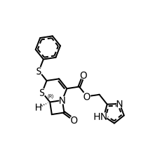 O=C(OCc1ncc[nH]1)C1=CC(Sc2ccccc2)S[C@@H]2CC(=O)N12